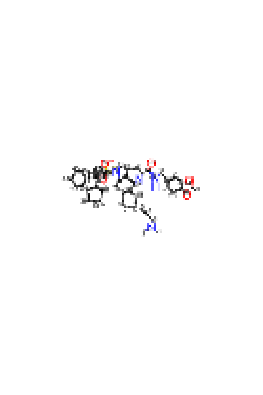 CN(C)CC#Cc1cccc(-c2nc(C(=O)NCc3ccc4c(c3)OCO4)cc3c2[C@@H](CCO[Si](c2ccccc2)(c2ccccc2)C(C)(C)C)N([S@@+]([O-])C(C)(C)C)C3)c1